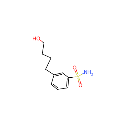 NS(=O)(=O)c1cccc(CCCCO)c1